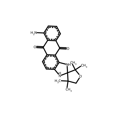 CC1(C)COC(C)(C)C12Nc1ccc3c(c1N2)C(=O)c1cccc(N)c1C3=O